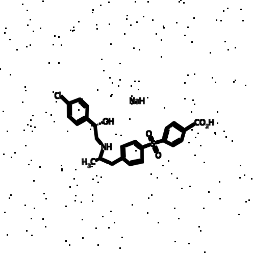 C[C@H](Cc1ccc(S(=O)(=O)c2ccc(C(=O)O)cc2)cc1)NC[C@@H](O)c1ccc(Cl)cc1.[NaH]